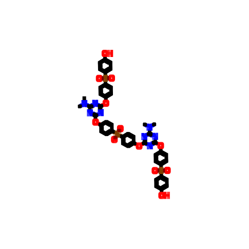 CN(C)c1nc(Oc2ccc(S(=O)(=O)c3ccc(O)cc3)cc2)nc(Oc2ccc(S(=O)(=O)c3ccc(Oc4nc(Oc5ccc(S(=O)(=O)c6ccc(O)cc6)cc5)nc(N(C)C)n4)cc3)cc2)n1